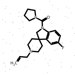 C=CCN1CCC2(CC1)CN(C(=O)N1CCCC1)c1ccc(F)cc12